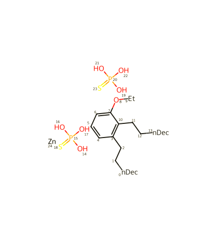 CCCCCCCCCCCCc1cccc(OCC)c1CCCCCCCCCCCC.OP(O)(O)=S.OP(O)(O)=S.[Zn]